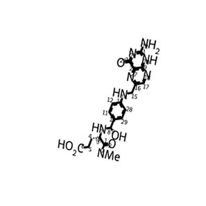 CNC(=O)[C@H](CCC(=O)O)NC(O)c1ccc(NCc2cnc3[nH]c(N)nc(=O)c3n2)cc1